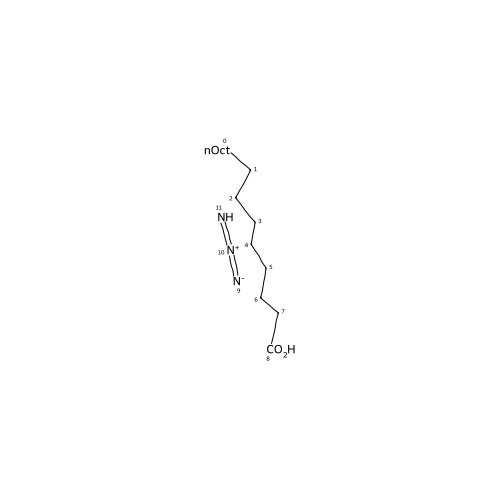 CCCCCCCCCCCCCCCC(=O)O.[N-]=[N+]=N